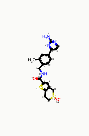 Cc1cc(-c2ccnc(N)n2)ccc1CNC(=O)c1cc2c(s1)CC[S+]([O-])C2